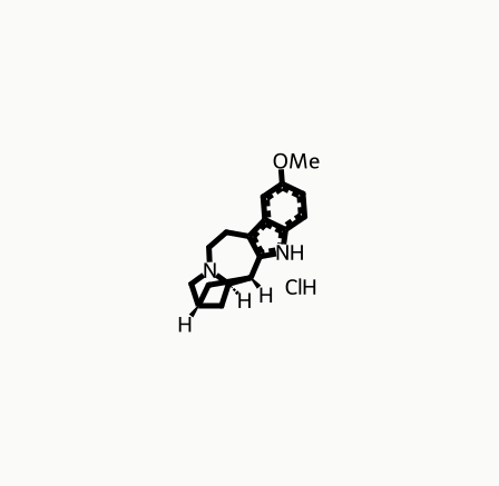 COc1ccc2[nH]c3c(c2c1)CCN1C[C@@H]2C[C@H]3[C@H]1C2.Cl